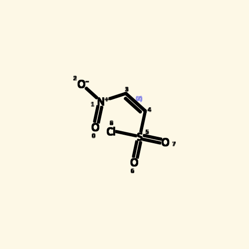 O=[N+]([O-])/C=C\S(=O)(=O)Cl